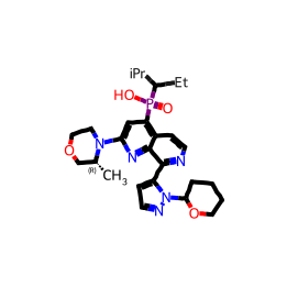 CCC(C(C)C)P(=O)(O)c1cc(N2CCOC[C@H]2C)nc2c(-c3ccnn3C3CCCCO3)nccc12